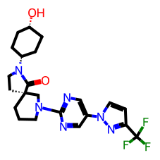 O=C1N([C@H]2CC[C@@H](O)CC2)CC[C@]12CCCN(c1ncc(-n3ccc(C(F)(F)F)n3)cn1)C2